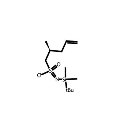 C=CC[C@H](C)CS(=O)(Cl)=N[Si](C)(C)C(C)(C)C